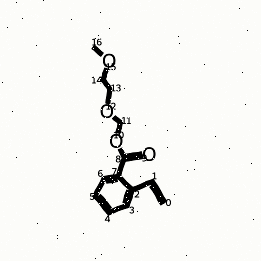 C=Cc1ccccc1C(=O)OCOCCOC